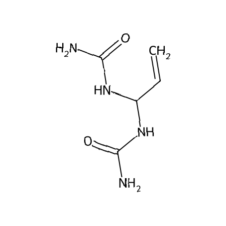 C=CC(NC(N)=O)NC(N)=O